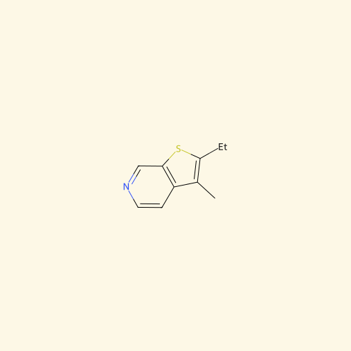 CCc1sc2cnccc2c1C